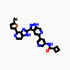 CC(=O)c1ccc(-c2nccc3[nH]c(-c4n[nH]c5cnc(-c6cncc(NC(=O)C7CCC7)c6)cc45)nc23)s1